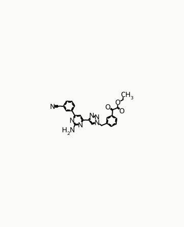 CCOC(=O)C(=O)c1cccc(Cn2cc(-c3cc(-c4cccc(C#N)c4)nc(N)n3)nn2)c1